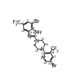 FC(F)(F)c1cc(Br)c2[nH]c(N3CCN(c4ncc(Br)cc4C(F)(F)F)CC3)nc2c1